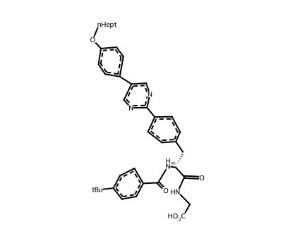 CCCCCCCOc1ccc(-c2cnc(-c3ccc(C[C@@H](NC(=O)c4ccc(C(C)(C)C)cc4)C(=O)NCC(=O)O)cc3)nc2)cc1